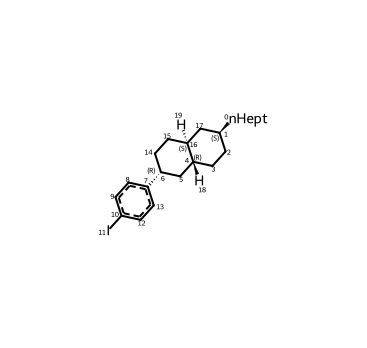 CCCCCCC[C@H]1CC[C@@H]2C[C@H](c3ccc(I)cc3)CC[C@H]2C1